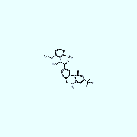 COc1cccc(C)c1N(C)C(=O)c1ccc(Cl)c(-n2c(C)cc(C(F)(F)F)nc2=O)c1